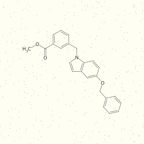 COC(=O)c1cccc(Cn2ccc3cc(OCc4ccccc4)ccc32)c1